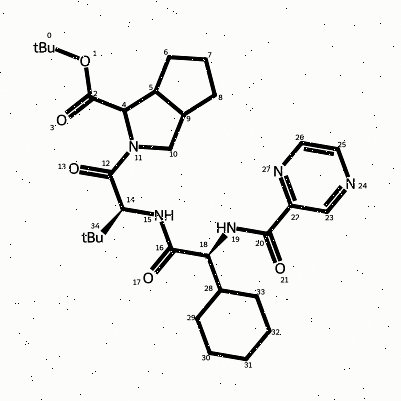 CC(C)(C)OC(=O)C1C2CCCC2CN1C(=O)[C@@H](NC(=O)[C@@H](NC(=O)c1cnccn1)C1CCCCC1)C(C)(C)C